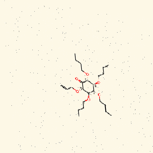 C=CCO[C@@H]1C(=O)[C@H](OCCCC)[C@@H](OCCCC)[C@H](OCCCC)[C@H]1OCCCC